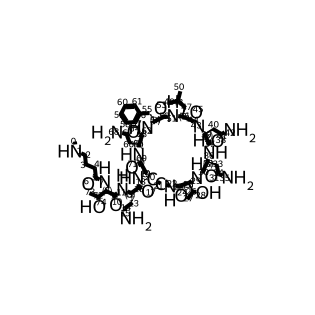 CNCCCC(=O)N[C@H](C(=O)N[C@@H](CCN)C(=O)N[C@H]1CCNC(=O)[C@H](C(C)O)NC(=O)[C@H](CCN)NC(=O)[C@H](CCN)NC(=O)[C@H](CC(C)C)NC(=O)[C@@H](Cc2ccccc2)NC(=O)[C@H](CCN)NC1=O)C(C)O